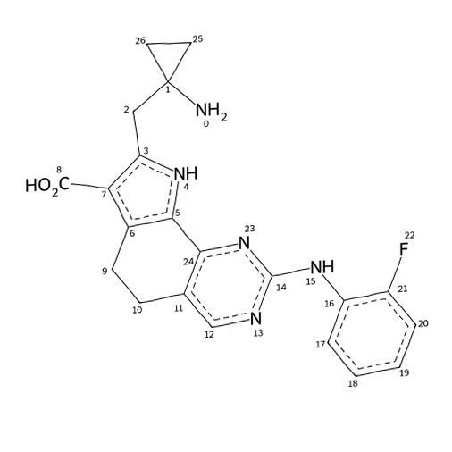 NC1(Cc2[nH]c3c(c2C(=O)O)CCc2cnc(Nc4ccccc4F)nc2-3)CC1